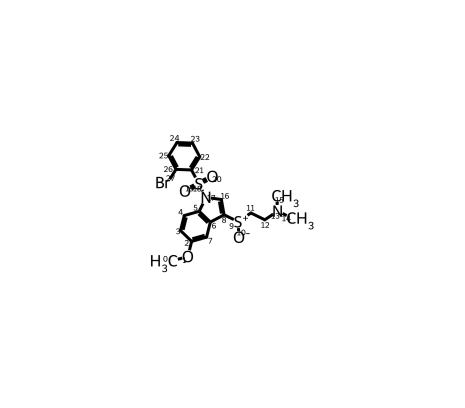 COc1ccc2c(c1)c([S+]([O-])CCN(C)C)cn2S(=O)(=O)c1ccccc1Br